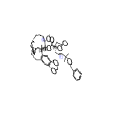 CO/C1=C/CCCC[N@]2CCc3cc4c(cc3[C@@H](C2)[C@@H]1OC(=O)[C@@]1(C/C=C/C(C)(C)OCc2ccccc2)CC(=O)O1)OCO4